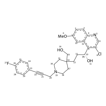 COc1ccc2ncc(Cl)c([C@H](O)CCC3(CO)CCN(CC#Cc4ccc(F)cc4)CC3)c2c1